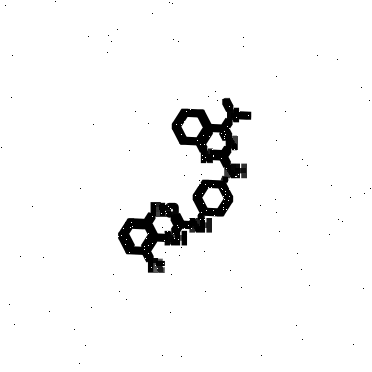 CCc1cccc(CC)c1NC(=O)N[C@H]1CC[C@@H](Nc2nc3c(c(N(C)C)n2)CCCC3)CC1